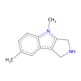 Cc1ccc2c(c1)c1c(n2C)CNC1